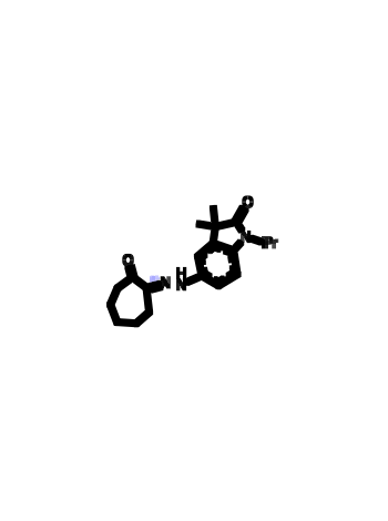 CC(C)N1C(=O)C(C)(C)c2cc(N/N=C3\CCCCCC3=O)ccc21